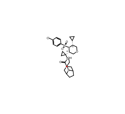 O=C(OC1([C@H]2COC[C@@H](C3CC3)N2S(=O)(=O)c2ccc(Cl)cc2)CC1)N1CC2CCC(C1)N2CCO